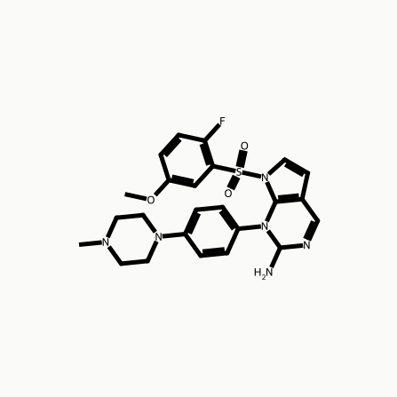 COc1ccc(F)c(S(=O)(=O)n2ccc3c2N(c2ccc(N4CCN(C)CC4)cc2)C(N)N=C3)c1